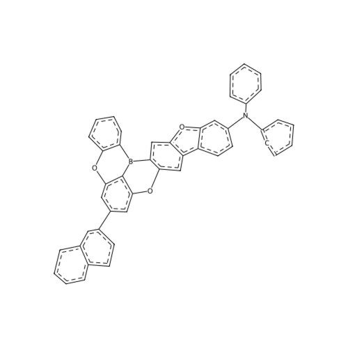 c1ccc(N(c2ccccc2)c2ccc3c(c2)oc2cc4c(cc23)Oc2cc(-c3ccc5ccccc5c3)cc3c2B4c2ccccc2O3)cc1